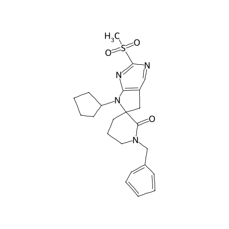 CS(=O)(=O)c1ncc2c(n1)N(C1CCCC1)C1(CCCN(Cc3ccccc3)C1=O)C2